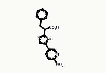 Nc1ccc(-c2cnc(C(Cc3ccccc3)C(=O)O)[nH]2)cn1